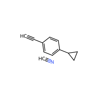 C#Cc1ccc(C2CC2)cc1.C#N